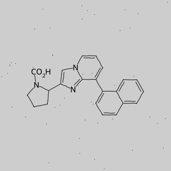 O=C(O)N1CCCC1c1cn2cccc(-c3cccc4ccccc34)c2n1